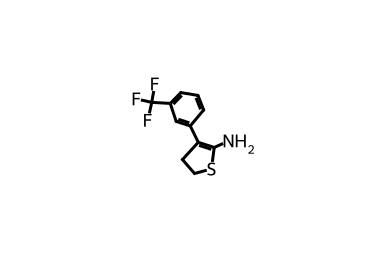 NC1=C(c2cccc(C(F)(F)F)c2)CCS1